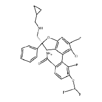 NC(=O)c1ccc(OC(F)F)c(F)c1-c1c(Cl)c(F)cc2c1C[C@@](CNCC1CC1)(c1ccccc1)O2